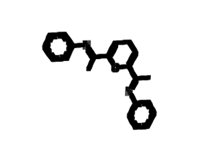 C/C(=N\c1ccccc1)C1=CCC=C(/C(C)=N/c2ccccc2)O1